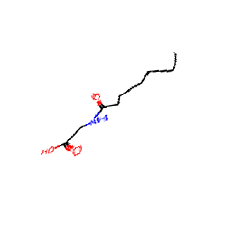 CCCCCCC(=O)NCC(=O)O